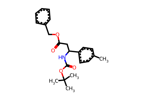 Cc1ccc(C(CC(=O)OCc2ccccc2)NC(=O)OC(C)(C)C)cc1